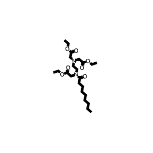 CCCCCCCCC(=O)N(CCN(CC(=O)OCC)CC(=O)OCC)CC(=O)OCC